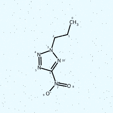 CCCn1nnc([N+](=O)[O-])n1